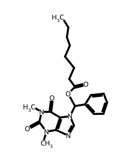 CCCCCCCC(=O)OC(c1ccccc1)n1cnc2c1c(=O)n(C)c(=O)n2C